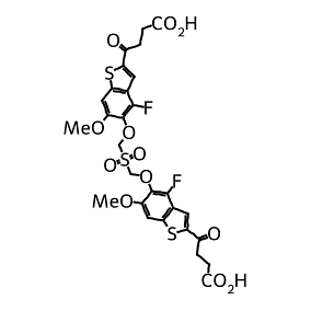 COc1cc2sc(C(=O)CCC(=O)O)cc2c(F)c1OCS(=O)(=O)COc1c(OC)cc2sc(C(=O)CCC(=O)O)cc2c1F